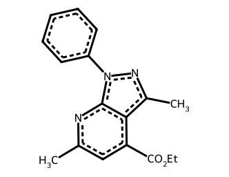 CCOC(=O)c1cc(C)nc2c1c(C)nn2-c1ccccc1